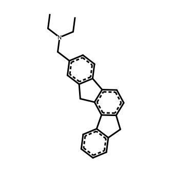 CCN(CC)Cc1ccc2c(c1)Cc1c-2ccc2c1-c1ccccc1C2